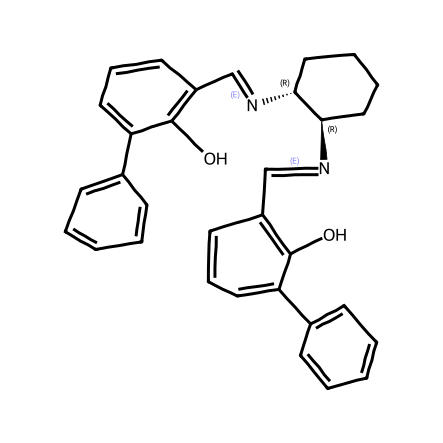 Oc1c(/C=N/[C@@H]2CCCC[C@H]2/N=C/c2cccc(-c3ccccc3)c2O)cccc1-c1ccccc1